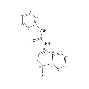 O=C(Nc1ccccc1)Nc1ccc(Br)c2ccccc12